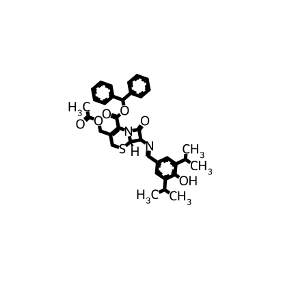 CC(=O)OCC1=C(C(=O)OC(c2ccccc2)c2ccccc2)N2C(=O)C(N=Cc3cc(C(C)C)c(O)c(C(C)C)c3)[C@@H]2SC1